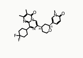 Cc1nc2c(C3CCC(F)(F)CC3)nc([C@@H]3CCO[C@H](c4ccc(=O)n(C)c4)C3)cn2c(=O)c1C